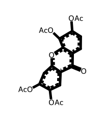 CC(=O)Oc1cc2oc3c(OC(C)=O)c(OC(C)=O)ccc3c(=O)c2cc1OC(C)=O